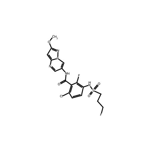 COc1cc2ncc(NC(=O)c3c(Cl)ccc(NS(=O)(=O)CCCF)c3F)cn2n1